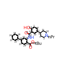 CCCN1CCC(c2ccc(O)c(C(=O)Nc3cc(-c4ccccc4)ccc3C(=O)OC(C)(C)C)c2)CC1